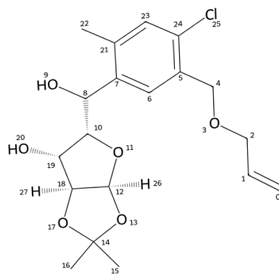 C=CCOCc1cc(C(O)[C@@H]2O[C@H]3OC(C)(C)O[C@H]3[C@@H]2O)c(C)cc1Cl